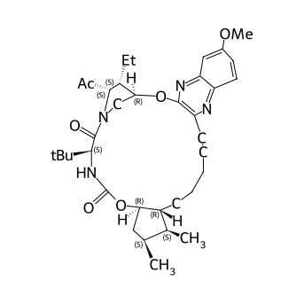 CC[C@@H]1[C@@H]2CN(C(=O)[C@H](C(C)(C)C)NC(=O)O[C@@H]3C[C@H](C)[C@H](C)[C@H]3CCCCCc3nc4ccc(OC)cc4nc3O2)[C@@H]1C(C)=O